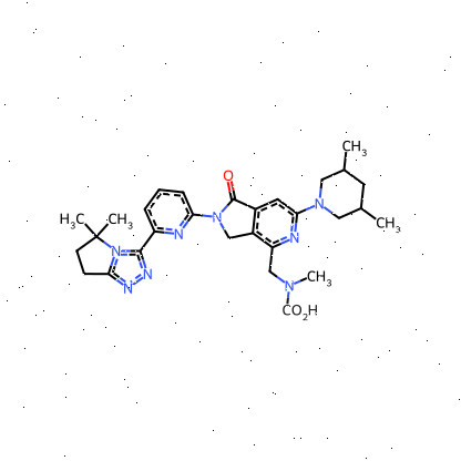 CC1CC(C)CN(c2cc3c(c(CN(C)C(=O)O)n2)CN(c2cccc(-c4nnc5n4C(C)(C)CC5)n2)C3=O)C1